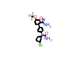 NC(=O)N(c1ccc(-c2ccc(OC(F)(F)F)c3onc(N)c23)cc1)c1cccc(Br)c1